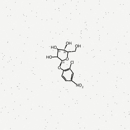 O=[N+]([O-])c1ccc(O[C@@H]2OC(CO)[C@H](O)[C@H](O)C2O)c(Cl)c1